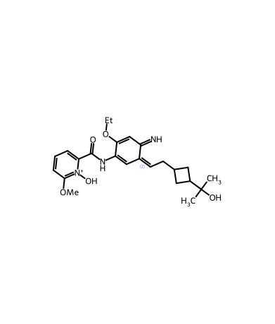 CCOC1=CC(=N)/C(=C\CC2CC(C(C)(C)O)C2)C=C1NC(=O)c1cccc(OC)[n+]1O